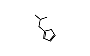 C[C](C)CC1=CC=CC1